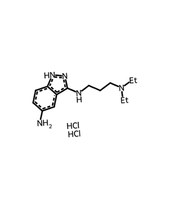 CCN(CC)CCCNc1n[nH]c2ccc(N)cc12.Cl.Cl